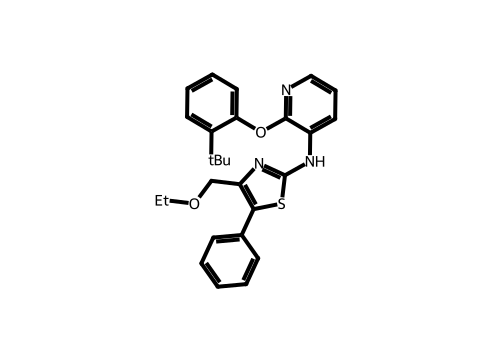 CCOCc1nc(Nc2cccnc2Oc2ccccc2C(C)(C)C)sc1-c1ccccc1